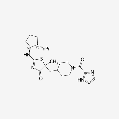 CCC[C@H]1CCC[C@@H]1NC1=NC(=O)C(C)(CC2CCN(C(=O)c3ncc[nH]3)CC2)S1